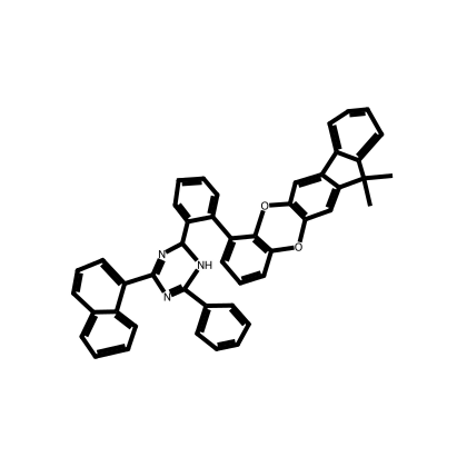 CC1(C)c2ccccc2-c2cc3c(cc21)Oc1cccc(-c2ccccc2C2N=C(c4cccc5ccccc45)N=C(c4ccccc4)N2)c1O3